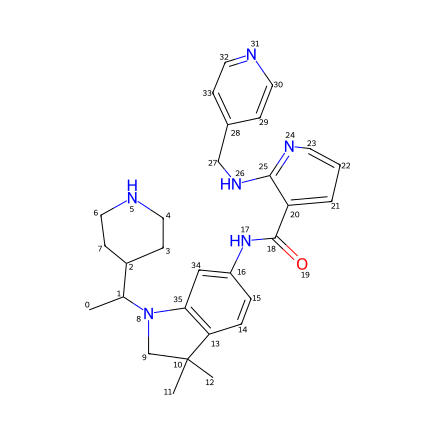 CC(C1CCNCC1)N1CC(C)(C)c2ccc(NC(=O)c3cccnc3NCc3ccncc3)cc21